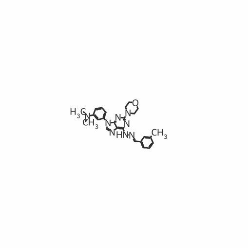 Cc1cccc(C=NNc2nc(N3CCOCC3)nc3c2ncn3-c2cccc(N(C)C)c2)c1